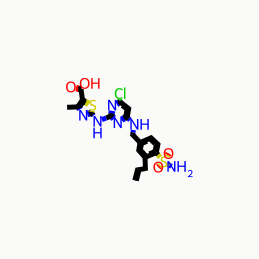 C=CCc1cc(CNc2cc(Cl)nc(Nc3nc(C)c(C(=O)O)s3)n2)ccc1S(N)(=O)=O